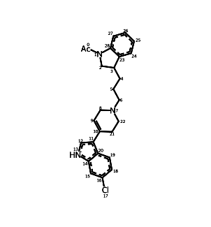 CC(=O)N1CC(CCCN2CC=C(c3c[nH]c4cc(Cl)ccc34)CC2)c2ccccc21